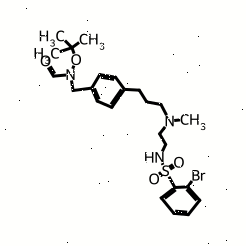 CN(CCCc1ccc(CN(C=O)OC(C)(C)C)cc1)CCNS(=O)(=O)c1ccccc1Br